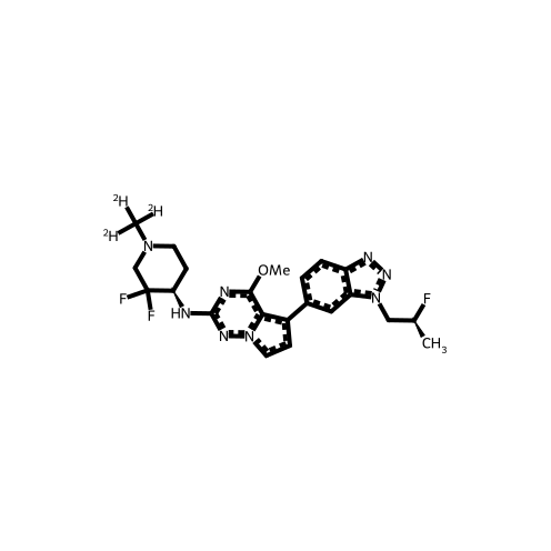 [2H]C([2H])([2H])N1CC[C@@H](Nc2nc(OC)c3c(-c4ccc5nnn(C[C@H](C)F)c5c4)ccn3n2)C(F)(F)C1